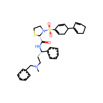 CN(CC[C@H](NC(=O)[C@@H]1SCCN1S(=O)(=O)C1=CCC(C2=CCCC=C2)C=C1)c1ccccc1)Cc1ccccc1